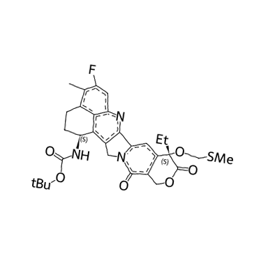 CC[C@@]1(OCSC)C(=O)OCc2c1cc1n(c2=O)Cc2c-1nc1cc(F)c(C)c3c1c2[C@@H](NC(=O)OC(C)(C)C)CC3